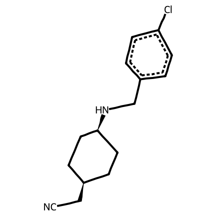 N#CC[C@H]1CC[C@@H](NCc2ccc(Cl)cc2)CC1